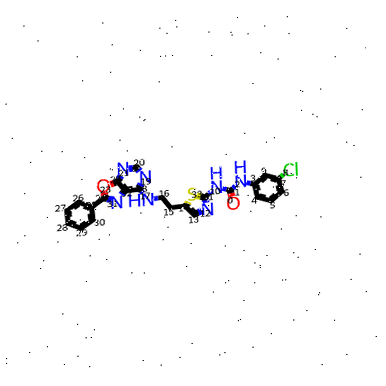 O=C(Nc1cccc(Cl)c1)Nc1ncc(CCNc2ncnc3oc(-c4ccccc4)nc23)s1